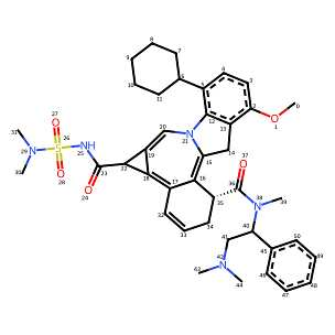 COc1ccc(C2CCCCC2)c2c1CC1=C3C(=C4C(=CN12)C4C(=O)NS(=O)(=O)N(C)C)C=CC[C@H]3C(=O)N(C)C(CN(C)C)c1ccccc1